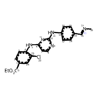 CCOC(=O)c1ccc(Nc2ccnc(Nc3ccc(/C=N/C)cc3)n2)c(Cl)c1